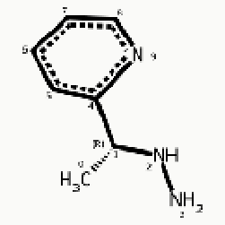 C[C@@H](NN)c1ccccn1